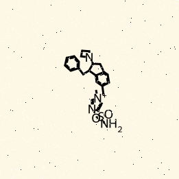 C[N+]1(Cc2ccc3c(c2)C(Cc2ccccc2)C(N2CCC2)C3)C=NC(S(N)(=O)=O)=C1